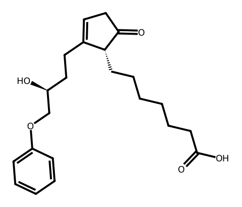 O=C(O)CCCCCC[C@H]1C(=O)CC=C1CC[C@H](O)COc1ccccc1